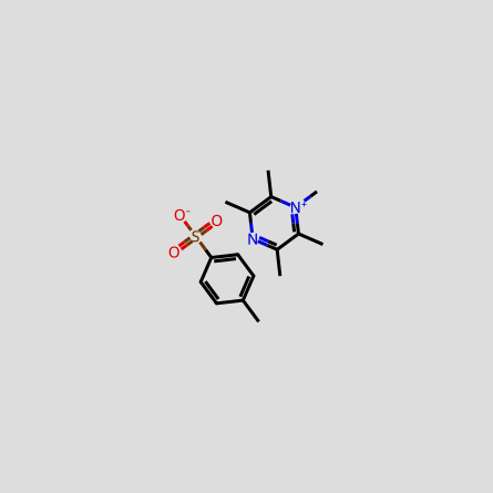 Cc1ccc(S(=O)(=O)[O-])cc1.Cc1nc(C)c(C)[n+](C)c1C